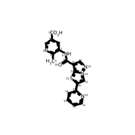 Cc1ncc(C(=O)O)cc1NC(=O)c1cnn2cc(-c3ccccn3)sc12